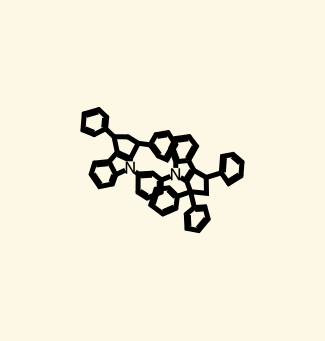 c1ccc(C2CC(c3ccccc3)c3c2c2ccccc2n3-c2cccc(-n3c4c(c5ccccc53)C(c3ccccc3)CC4(c3ccccc3)c3ccccc3)c2)cc1